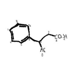 CC(=O)C(CC(=O)O)c1ccccc1